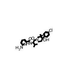 CC(C)[C@@H](NC(=O)c1cccc(N)n1)C(=O)N1CC[C@](O)(c2ccc(Cl)cc2)C(C)(C)C1